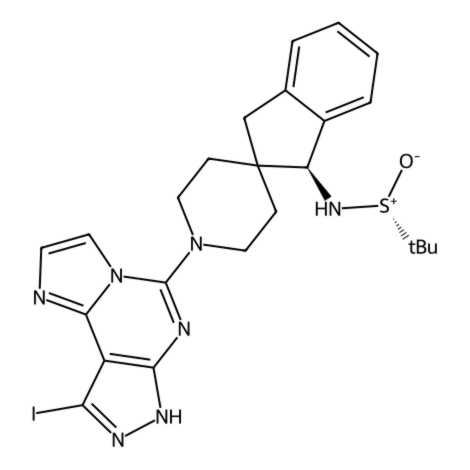 CC(C)(C)[S@@+]([O-])N[C@@H]1c2ccccc2CC12CCN(c1nc3[nH]nc(I)c3c3nccn13)CC2